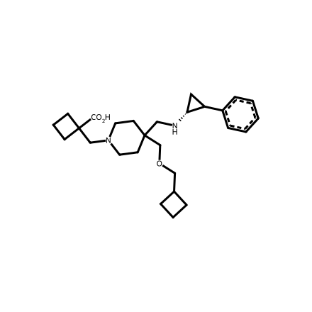 O=C(O)C1(CN2CCC(CN[C@@H]3CC3c3ccccc3)(COCC3CCC3)CC2)CCC1